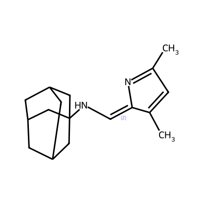 CC1=CC(C)=N/C1=C\NC12CC3CC(CC(C3)C1)C2